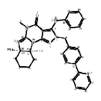 CN1C(=O)c2c(nn(Cc3ccc(-c4ccccn4)cc3)c2Nc2ccccc2)N2C1=N[C@@H]1CCCC[C@@H]12